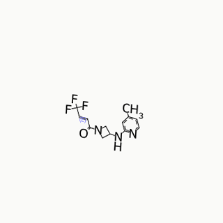 Cc1ccnc(NC2CN(C(=O)/C=C/C(F)(F)F)C2)c1